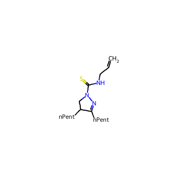 C=CCNC(=S)N1CC(CCCCC)C(CCCCC)=N1